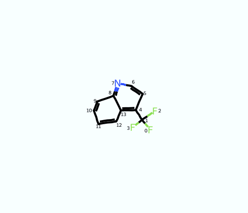 FC(F)(F)c1ccnc2[c]cccc12